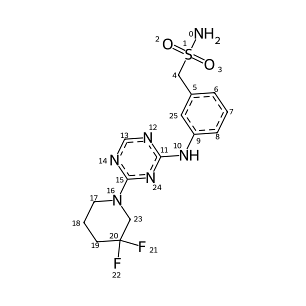 NS(=O)(=O)Cc1cccc(Nc2ncnc(N3CCCC(F)(F)C3)n2)c1